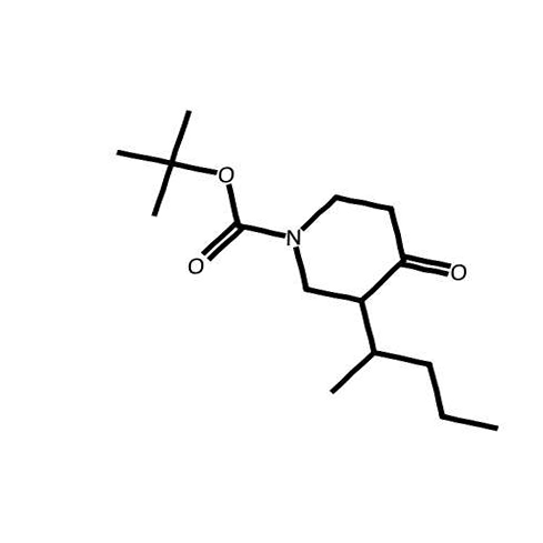 CCCC(C)C1CN(C(=O)OC(C)(C)C)CCC1=O